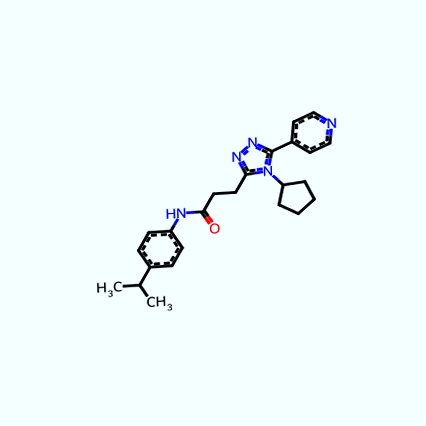 CC(C)c1ccc(NC(=O)CCc2nnc(-c3ccncc3)n2C2CCCC2)cc1